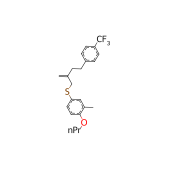 C=C(CCc1ccc(C(F)(F)F)cc1)CSc1ccc(OCCC)c(C)c1